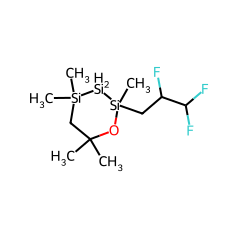 CC1(C)C[Si](C)(C)[SiH2][Si](C)(CC(F)C(F)F)O1